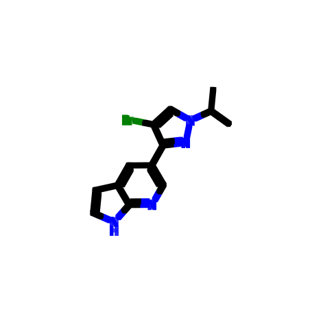 CC(C)n1cc(Br)c(-c2cnc3[nH]ccc3c2)n1